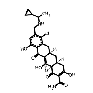 CC(NCc1cc(O)c2c(c1Cl)C[C@H]1C[C@H]3CC(O)=C(C(N)=O)C(=O)[C@@]3(O)C(O)=C1C2=O)C1CC1